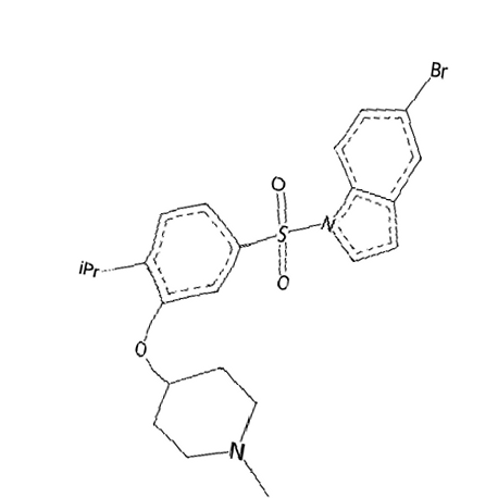 CC(C)c1ccc(S(=O)(=O)n2ccc3cc(Br)ccc32)cc1OC1CCN(C)CC1